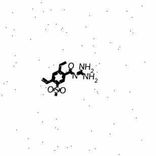 C=Cc1cc(CC)c(C(=O)N=C(N)N)cc1S(C)(=O)=O